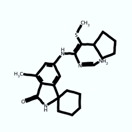 CS/C(=C(/N=C\N)Nc1cc(C)c2c(c1)C1(CCCCC1)NC2=O)C1CCCC1